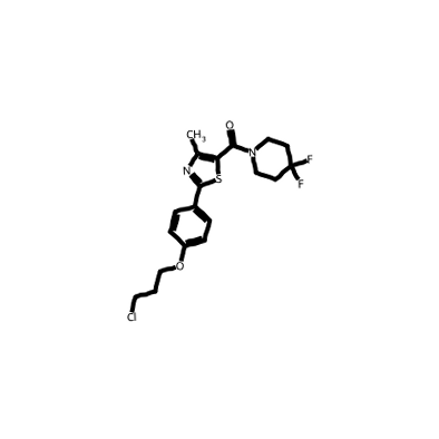 Cc1nc(-c2ccc(OCCCCl)cc2)sc1C(=O)N1CCC(F)(F)CC1